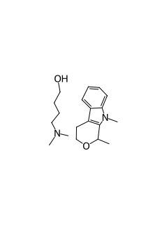 CC1OCCc2c1n(C)c1ccccc21.CN(C)CCCCO